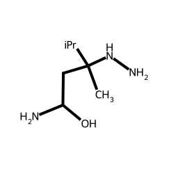 CC(C)C(C)(CC(N)O)NN